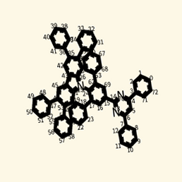 c1ccc(-c2cc(-c3ccccc3)nc(-c3cc(-c4ccccc4)c(-n4c5cc(-c6ccccc6)c(-c6ccccc6)cc5c5cc(-c6ccccc6)c(-c6ccccc6)cc54)c(-c4ccccc4)c3)n2)cc1